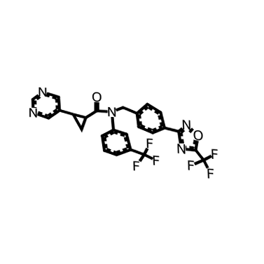 O=C(C1CC1c1cncnc1)N(Cc1ccc(-c2noc(C(F)(F)F)n2)cc1)c1cccc(C(F)(F)F)c1